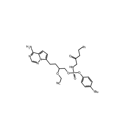 CC(C)CCC(=O)CNP(=O)(OCC(CCc1ccc2c(N)ncnn12)OCC#N)Oc1ccc(C(C)(C)C)cc1